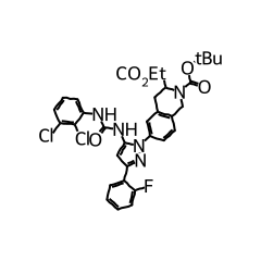 CCOC(=O)C1Cc2cc(-n3nc(-c4ccccc4F)cc3NC(=O)Nc3cccc(Cl)c3Cl)ccc2CN1C(=O)OC(C)(C)C